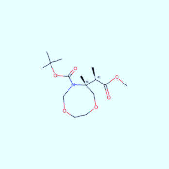 COC(=O)[C@H](C)[C@]1(C)COCCOCN1C(=O)OC(C)(C)C